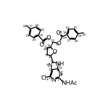 CC(=O)Nc1nc(Cl)c2nc(C3C[C@H](OC(=O)c4ccc(C)cc4)[C@@H](COC(=O)c4ccc(C)cc4)O3)[nH]c2n1